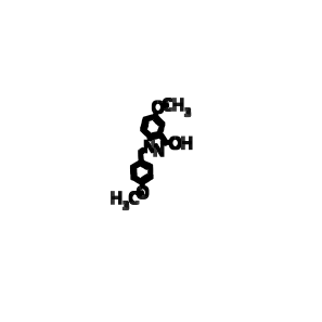 COc1ccc(Cn2nc(O)c3cc(OC)ccc32)cc1